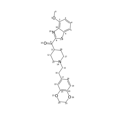 COc1cccc2sc(C(=O)C3CCN(CCc4ccc5c(c4)OCCO5)CC3)nc12